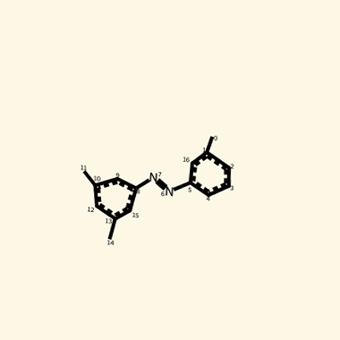 Cc1cccc(N=Nc2cc(C)cc(C)c2)c1